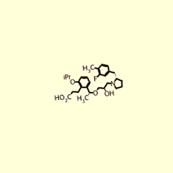 Cc1ccc(C[C@@H]2CCCN2C[C@@H](O)CO[C@H](C)c2cccc(OC(C)C)c2CCC(=O)O)cc1F